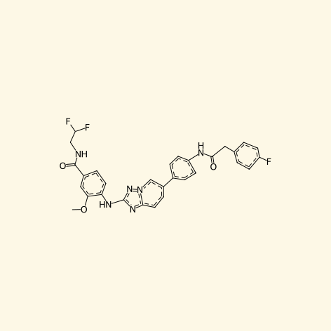 COc1cc(C(=O)NCC(F)F)ccc1Nc1nc2ccc(-c3ccc(NC(=O)Cc4ccc(F)cc4)cc3)cn2n1